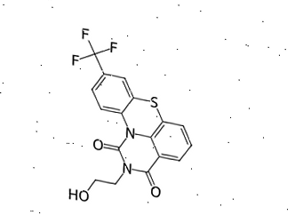 O=c1c2cccc3c2n(c(=O)n1CCO)-c1ccc(C(F)(F)F)cc1S3